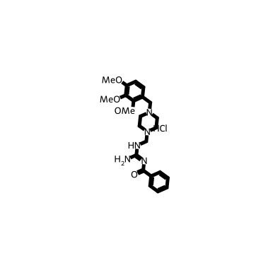 COc1ccc(CN2CCN(CNC(N)=NC(=O)c3ccccc3)CC2)c(OC)c1OC.Cl